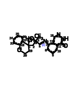 CC1(CC(O)(/C=N/c2cccc3c(=O)[nH]ncc23)C(F)(F)F)CCOc2ccccc21